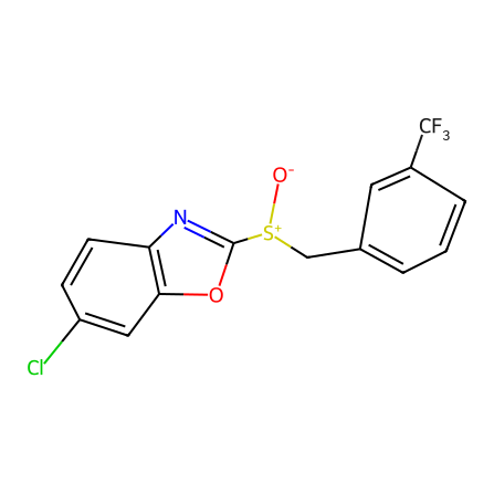 [O-][S+](Cc1cccc(C(F)(F)F)c1)c1nc2ccc(Cl)cc2o1